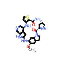 COc1cc2c(cc1Nc1cc3c(Nc4ccsc4C(N)=O)cncc3[nH]1)N(C(=O)[C@@H]1CCCN1)CC2